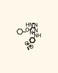 C=CS(=O)(=O)c1ccc(Nc2nc(OCC3CCCCC3)c3[nH]cnc3n2)cc1